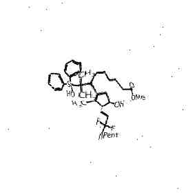 CCCCCC(F)(F)/C=C/[C@@H]1[C@@H](C)[C@@H](C(/C=C\CCCC(=O)OC)C(C)(C)[Si](O)(c2ccccc2)c2ccccc2)C[C@H]1O